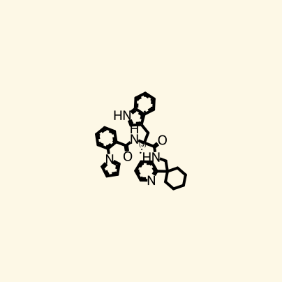 C[C@@](Cc1c[nH]c2ccccc12)(NC(=O)c1ccccc1-n1cccc1)C(=O)NCC1(c2ccccn2)CCCCC1